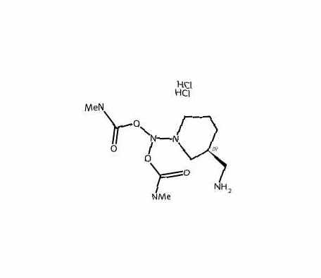 CNC(=O)ON(OC(=O)NC)N1CCC[C@@H](CN)C1.Cl.Cl